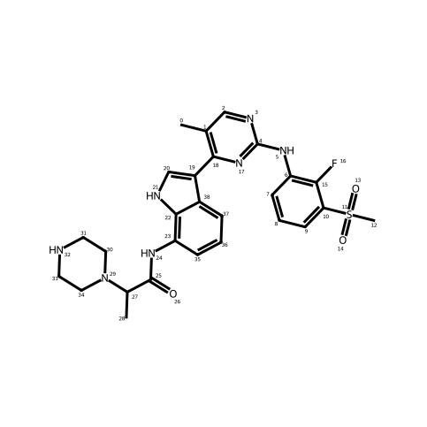 Cc1cnc(Nc2cccc(S(C)(=O)=O)c2F)nc1-c1c[nH]c2c(NC(=O)C(C)N3CCNCC3)cccc12